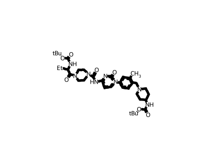 CCC(NC(=O)OC(C)(C)C)C(=O)N1CCN(C(=O)Nc2ccn(-c3ccc(CN4CCC(NC(=O)OC(C)(C)C)CC4)c(C)c3)c(=O)n2)CC1